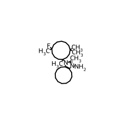 C[C@H]1N(N)C2=C(CCCCCCCCCC2)N1C1(C)CCCC(C)(F)CCCCCC(C)(C)CC1